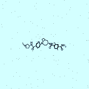 CCN1CC[C@@H](NC(=O)c2ccc(N3CCC(NC(=O)c4cc(C)c(C(N)=O)cc4C)CC4CCC43)nc2)C1